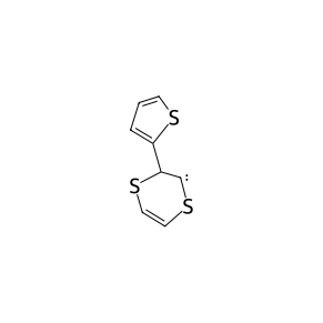 [C]1SC=CSC1c1cccs1